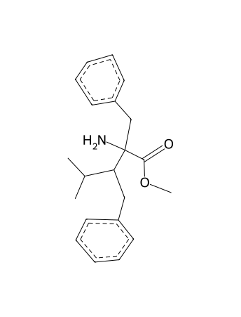 COC(=O)C(N)(Cc1ccccc1)C(Cc1ccccc1)C(C)C